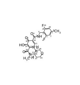 Cc1cc(F)c(CNC(=O)c2cn3c(c(O)c2=O)C(=O)N(C)[C@@H]2CCOC[C@@H]23)c(F)c1